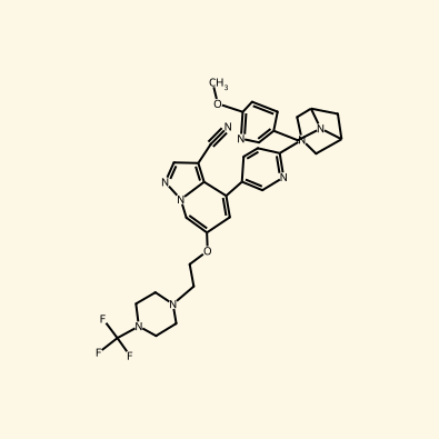 COc1ccc(CN2C3CC2CN(c2ccc(-c4cc(OCCN5CCN(C(F)(F)F)CC5)cn5ncc(C#N)c45)cn2)C3)cn1